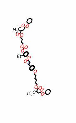 C=C(CC(=O)OC1CCCCC1)C(=O)OCCCCCCOc1ccc(/C=C/C(=O)Oc2ccc(OC(=O)OCCCCOC(=O)C(=C)CC(=O)OC3CCCCC3)c(CC)c2)cc1